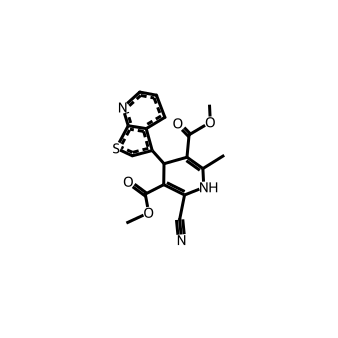 COC(=O)C1=C(C)NC(C#N)=C(C(=O)OC)C1c1csc2ncccc12